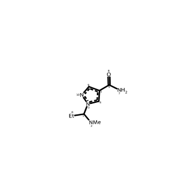 CCC(NC)n1cc(C(N)=O)cn1